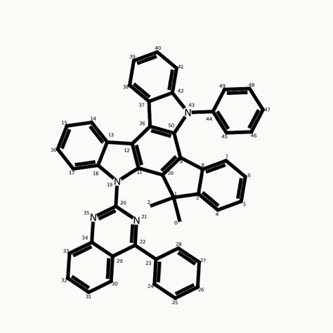 CC1(C)c2ccccc2-c2c1c1c(c3ccccc3n1-c1nc(-c3ccccc3)c3ccccc3n1)c1c3ccccc3n(-c3ccccc3)c21